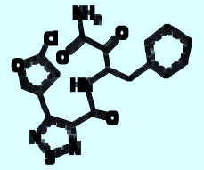 NC(=O)C(=O)C(Cc1ccccc1)NC(=O)c1nsnc1-c1coc(Cl)c1